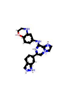 c1cn2cc(-c3ccc4cn[nH]c4c3)nc(Nc3ccc4c(c3)NCCO4)c2n1